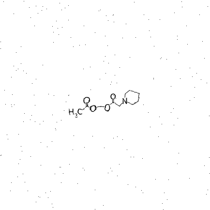 CC(=O)OCOC(=O)CN1CCCCC1